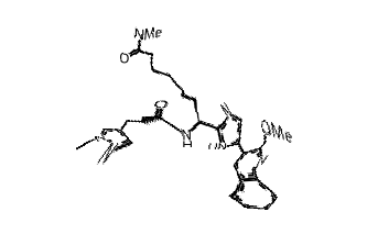 CNC(=O)CCCCC[C@H](NC(=O)CCc1cnn(C)c1)c1ncc(-c2cc3ccccc3nc2OC)[nH]1